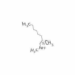 CCCCCC[C@H](C)CNC